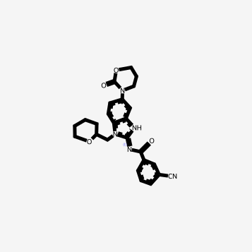 N#Cc1cccc(C(=O)/N=c2\[nH]c3cc(N4CCCOC4=O)ccc3n2CC2CCCCO2)c1